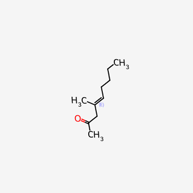 CCCC/C=C(\C)CC(C)=O